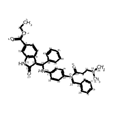 CCOC(=O)c1ccc2c(c1)NC(=O)/C2=C(\Nc1ccc(N(Cc2ccccc2)C(=O)CCN(C)C)cc1)c1ccccc1